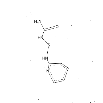 NC(=O)NSNc1ccccn1